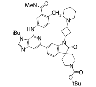 CC[C@H](C)n1cnc2cc(-c3ccc4c(c3)N(C3CC(N5CCCCC5)C3)C(=O)C43CCN(C(=O)OC(C)(C)C)CC3)nc(Nc3ccc(C)c(C(=O)NC)c3)c21